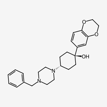 O[C@]1(c2ccc3c(c2)OCCO3)CC[C@@H](N2CCN(Cc3ccccc3)CC2)CC1